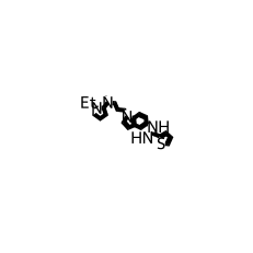 CCN1CCCC1N(C)CCCn1ccc2cc(NC(=N)c3cccs3)ccc21